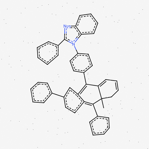 CC12CC=CC=C1C(c1ccc(-n3c(-c4ccccc4)nc4ccccc43)cc1)=c1cc(-c3ccccc3)ccc1=C2c1ccccc1